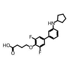 O=C(O)CCCOc1c(F)cc(-c2cccc(NC3CCCC3)c2)cc1F